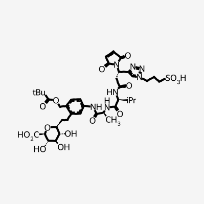 CC(C)[C@H](NC(=O)C[C@@H](c1cn(CCCS(=O)(=O)O)nn1)N1C(=O)C=CC1=O)C(=O)N[C@@H](C)C(=O)Nc1ccc(COC(=O)C(C)(C)C)c(CC[C@@H]2O[C@H](C(=O)O)[C@@H](O)[C@H](O)[C@H]2O)c1